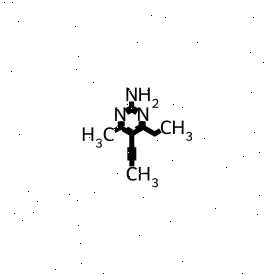 CC#Cc1c(C)nc(N)nc1CC